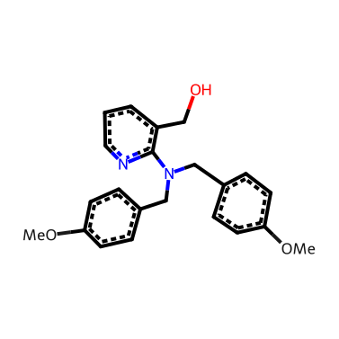 COc1ccc(CN(Cc2ccc(OC)cc2)c2ncccc2CO)cc1